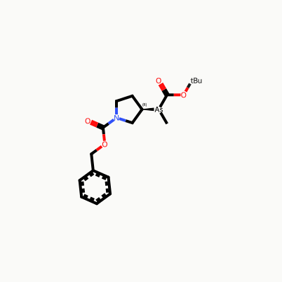 C[As](C(=O)OC(C)(C)C)[C@@H]1CCN(C(=O)OCc2ccccc2)C1